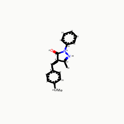 COc1ccc(C=C2C(=O)N(c3ccccc3)N=C2C)cc1